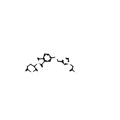 NC(=O)Cn1cnc(CNc2ccc3c(c2)C(=O)N(C2CCC(=O)NC2=O)C3=O)c1